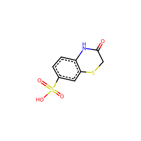 O=C1CSc2cc(S(=O)(=O)O)ccc2N1